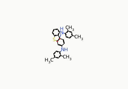 Cc1ccc(NC2=CC34C=CC=C(Nc5ccc(C)cc5C)C3(C=C2)c2ccccc2S4)c(C)c1